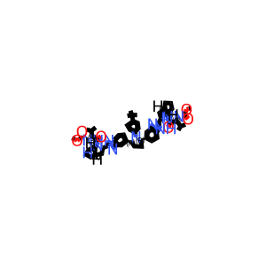 COC(=O)N[C@H](C(=O)N1C(c2nc3cc([C@H]4CC[C@H](c5ccc6[nH]c(C7C[C@@H]8CCC[C@@H]8N7C(=O)[C@@H](NC(=O)OC)C(C)C)nc6c5)N4c4ccc(C(C)(C)C)cc4)ccc3[nH]2)C[C@@H]2CCC[C@@H]21)C(C)C